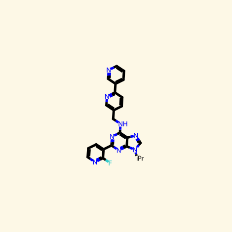 CC(C)n1cnc2c(NCc3ccc(-c4cccnc4)nc3)nc(-c3cccnc3F)nc21